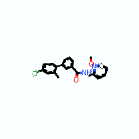 CO[n+]1ccccc1CNC(=O)c1cccc(-c2ccc(Cl)cc2C)c1